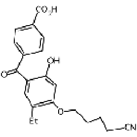 CCc1cc(C(=O)c2ccc(C(=O)O)cc2)c(O)cc1OCCCCC#N